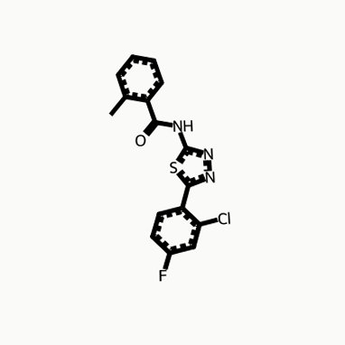 Cc1ccccc1C(=O)Nc1nnc(-c2ccc(F)cc2Cl)s1